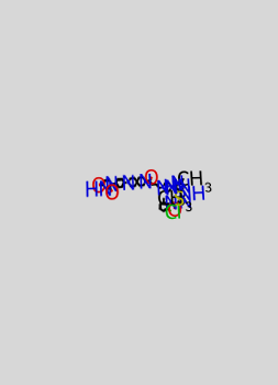 Cc1nc(Nc2ncc(C(=O)Nc3c(C)cccc3Cl)s2)cc(N2CCN(CCCC(=O)N3CCC4(CC3)CCN(c3ccc(-n5ccc(=O)[nH]c5=O)cc3)CC4)CC2)n1